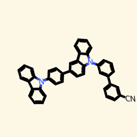 N#Cc1cccc(-c2cccc(-n3c4ccccc4c4cc(-c5ccc(-n6c7ccccc7c7ccccc76)cc5)ccc43)c2)c1